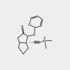 C[Si](C)(C)C#C[C@]12CCCC1CC(=O)C2OC1C=CC=CO1